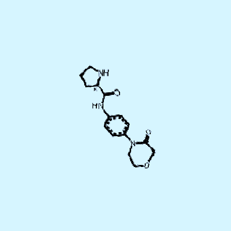 O=C(Nc1ccc(N2CCOCC2=O)cc1)[C@H]1CCCN1